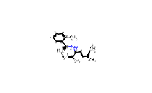 C=C(C)CCC(NC(=C)c1ccccc1C)C(=C)C